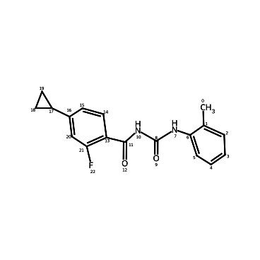 Cc1ccccc1NC(=O)NC(=O)c1ccc(C2CC2)cc1F